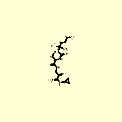 C=C(NC1CC1)C(=O)CNC(=O)C(CC(C)C)NC(=O)SC(C)(C)CCCC(C)(C)C